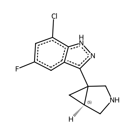 Fc1cc(Cl)c2[nH]nc(C34CNC[C@H]3C4)c2c1